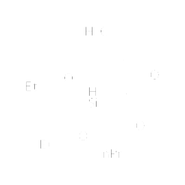 CCCOC1([SiH](OCC)OCC)OC1C